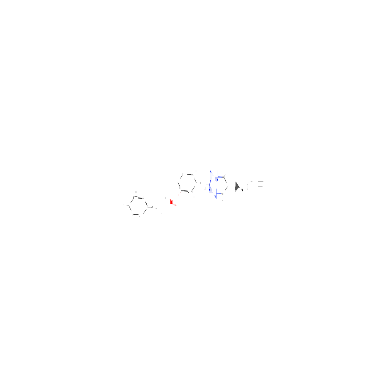 FC(F)(F)Nc1cnc(-c2cccc(OCCc3ccccc3)c2)nc1